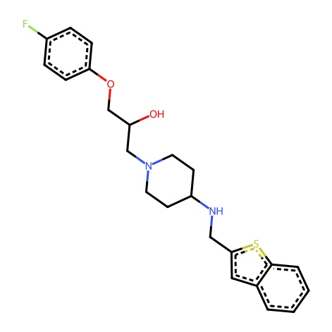 OC(COc1ccc(F)cc1)CN1CCC(NCc2cc3ccccc3s2)CC1